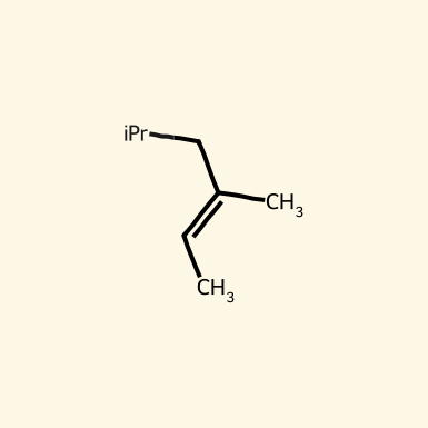 [CH2]C(C)CC(C)=CC